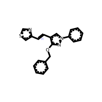 C(=C\c1cn(-c2ccccc2)nc1OCc1ccccc1)/c1cscn1